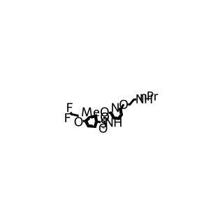 CCCNCCOc1ccc(NS(=O)(=O)c2ccc(OCC(F)F)cc2)c(OC)n1